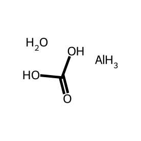 O.O=C(O)O.[AlH3]